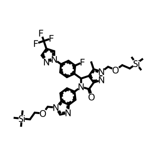 Cc1c2c(nn1COCC[Si](C)(C)C)C(=O)N(c1ccc3c(c1)ncn3COCC[Si](C)(C)C)C2c1ccc(-n2cc(C(F)(F)F)cn2)cc1F